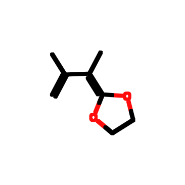 C=C(C)C(C)=C1OCCO1